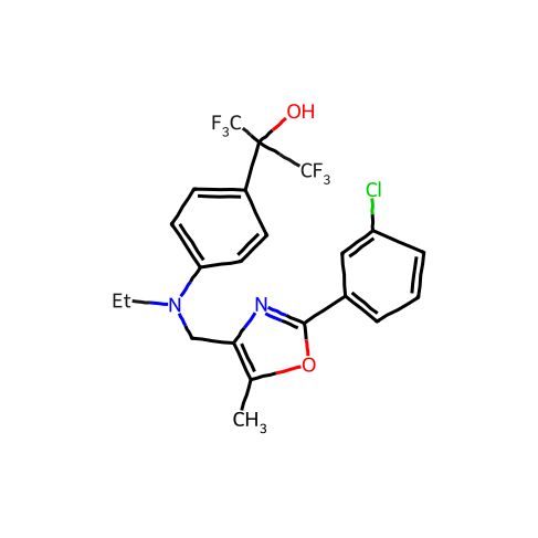 CCN(Cc1nc(-c2cccc(Cl)c2)oc1C)c1ccc(C(O)(C(F)(F)F)C(F)(F)F)cc1